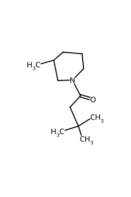 CC1CCCN(C(=O)CC(C)(C)C)C1